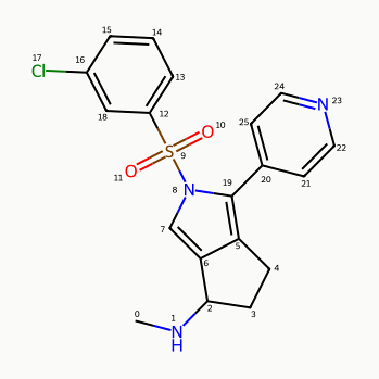 CNC1CCc2c1cn(S(=O)(=O)c1cccc(Cl)c1)c2-c1ccncc1